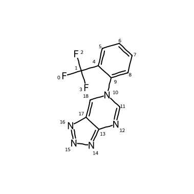 FC(F)(F)c1ccccc1-n1cnc2nnnc-2c1